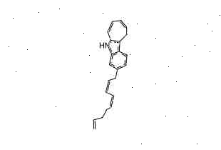 C=CCC/C=C\C=C/Cc1ccc2c3c([nH]c2c1)C=CC=CC3